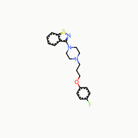 Fc1ccc(OCCCN2CCN(c3nsc4ccccc34)CC2)cc1